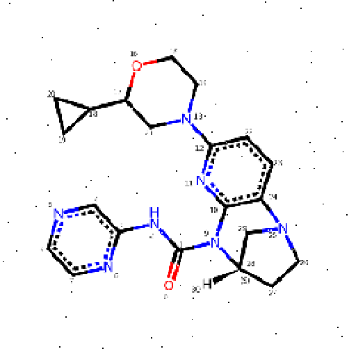 O=C(Nc1cnccn1)N1c2nc(N3CCOC(C4CC4)C3)ccc2N2CC[C@H]1C2